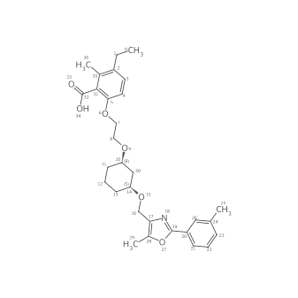 CCc1ccc(OCCO[C@@H]2CCC[C@H](OCc3nc(-c4cccc(C)c4)oc3C)C2)c(C(=O)O)c1C